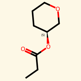 CCC(=O)O[C@H]1CCCOC1